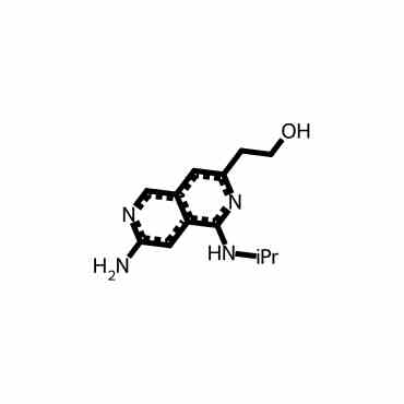 CC(C)Nc1nc(CCO)cc2cnc(N)cc12